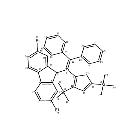 CCc1ccc2c(c1)[CH]([Zr]([C]1=C([Si](C)(C)C)C=C([Si](C)(C)C)C1)=[C](c1ccccc1)c1ccccc1)c1cc(CC)ccc1-2